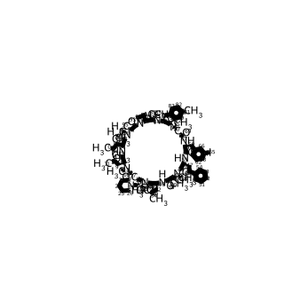 CC[C@H](C)[C@@H]1NC(=O)[C@H](CC(C)C)N(C)C(=O)C[C@@H](C(=O)N2CCCCC2)N(C)C(=O)[C@H](CC(C)C)NC(=O)C(C)(C)N(C)C(=O)[C@H](CCc2ccccc2)NC(=O)[C@H](Cc2cccc(I)c2)NC(=O)CN(C)C(=O)[C@H](Cc2ccc(C)cc2)N(C)C(=O)[C@@H]2CCN2C(=O)[C@H](C)N(C)C1=O